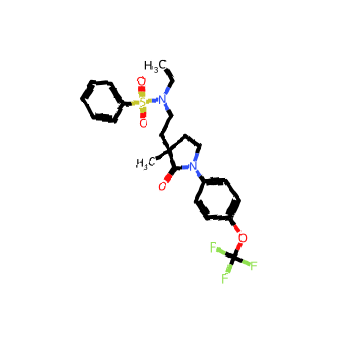 CCN(CCC1(C)CCN(c2ccc(OC(F)(F)F)cc2)C1=O)S(=O)(=O)c1ccccc1